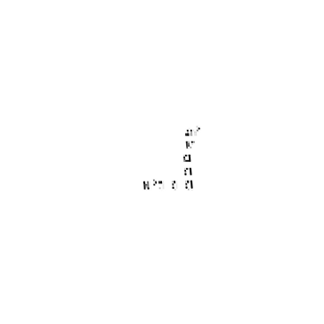 [Cl-].[Cl-].[Cl-].[Cl-].[Cl-].[K+].[Ni+2].[Zn+2]